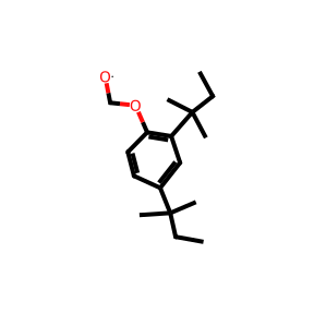 CCC(C)(C)c1ccc(OC[O])c(C(C)(C)CC)c1